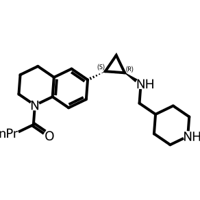 CCCC(=O)N1CCCc2cc([C@@H]3C[C@H]3NCC3CCNCC3)ccc21